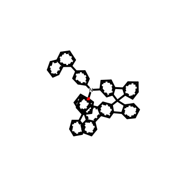 c1ccc(-c2ccc(N(c3ccc(-c4cccc5ccccc45)cc3)c3ccc4c(c3)C3(c5ccccc5-4)c4ccccc4-c4cc5c6ccccc6c6ccccc6c5cc43)cc2)cc1